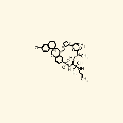 C=CCNC(C)(C)C(=O)NS(=O)(=O)c1ccc2c(c1)N(C[C@@H]1CC[C@H]1[C@@H](C=C)OC(=O)N(C)C)C[C@@]1(CCCc3cc(Cl)ccc31)CO2